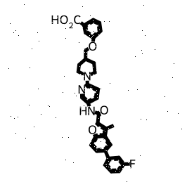 Cc1c(C(=O)Nc2ccc(N3CCC(COc4cccc(C(=O)O)c4)CC3)nc2)oc2ccc(-c3cccc(F)c3)cc12